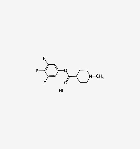 CN1CCC(C(=O)Oc2cc(F)c(F)c(F)c2)CC1.I